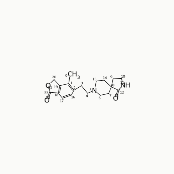 Cc1c(CCN2CCC3(CCNC3=O)CC2)ccc2c1COC2=O